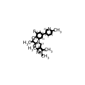 Cc1ccc(-c2cc(F)c3c(c2)N(Cc2c(C)nn(C)c2C)C(=O)[C@@H](C)O3)cn1